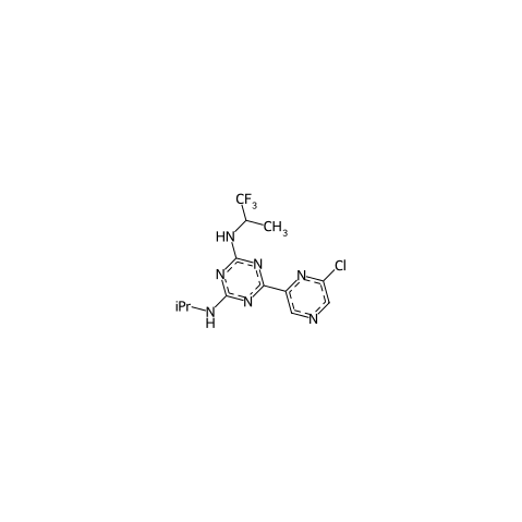 CC(C)Nc1nc(NC(C)C(F)(F)F)nc(-c2cncc(Cl)n2)n1